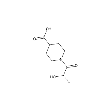 C[C@H](O)C(=O)N1CCC(C(=O)O)CC1